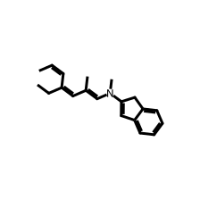 C\C=C/C(=C\C(C)=C\N(C)C1=Cc2ccccc2C1)CC